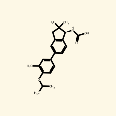 Cc1cc(-c2ccc3c(c2)CC(C)(C)[C@H]3NC(=O)O)ccc1OC(C)C